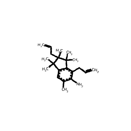 C=CCc1c(N)c(C)cc2c1C(C)(C)C(C)(CC=C)C2(C)C